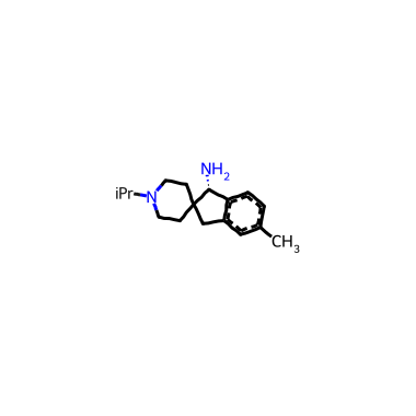 Cc1ccc2c(c1)CC1(CCN(C(C)C)CC1)[C@@H]2N